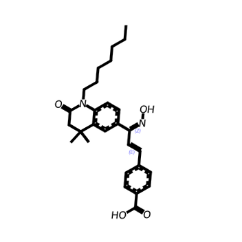 CCCCCCCN1C(=O)CC(C)(C)c2cc(C(/C=C/c3ccc(C(=O)O)cc3)=N\O)ccc21